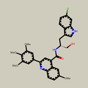 COc1ccc2nc(-c3cc(OC)c(OC)c(OC)c3)cc(C(=O)N[C@@H](CO)Cc3c[nH]c4cc(Cl)ccc34)c2c1